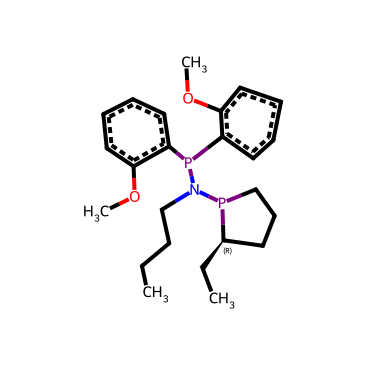 CCCCN(P(c1ccccc1OC)c1ccccc1OC)P1CCC[C@H]1CC